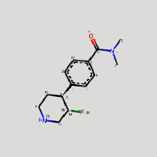 CN(C)C(=O)c1ccc([C@@H]2CCNC[C@@H]2F)cc1